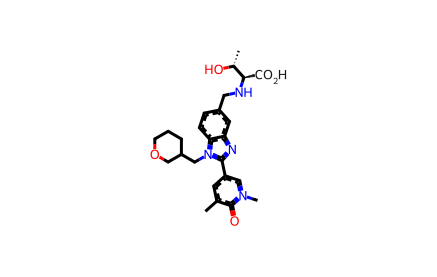 Cc1cc(-c2nc3cc(CN[C@H](C(=O)O)[C@@H](C)O)ccc3n2CC2CCCOC2)cn(C)c1=O